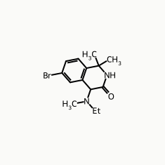 CCN(C)C1C(=O)NC(C)(C)c2ccc(Br)cc21